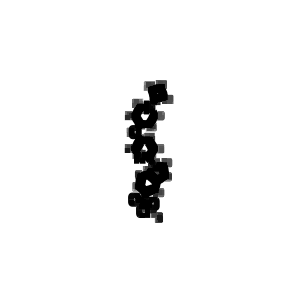 CS(=O)(=O)c1ccc2c(ccn2-c2ccc(OC3CCN(C4CCC4)CC3)cn2)c1